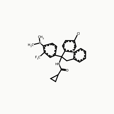 CN(C)c1ccc(C(Cc2ccccc2)(NC(=O)C2CC2)c2ccc(Cl)cn2)cc1C(F)(F)F